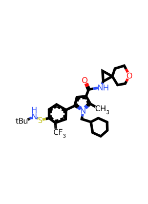 Cc1c(C(=O)NC2CC23CCOCC3)cc(-c2ccc(SNC(C)(C)C)c(C(F)(F)F)c2)n1CC1CCCCC1